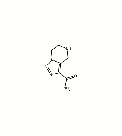 NC(=O)c1nnn2c1CNCC2